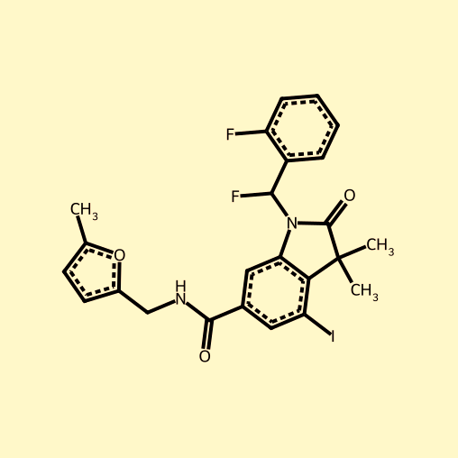 Cc1ccc(CNC(=O)c2cc(I)c3c(c2)N(C(F)c2ccccc2F)C(=O)C3(C)C)o1